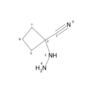 N#CC1(NN)CCC1